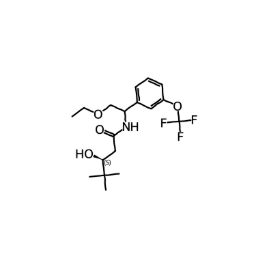 CCOCC(NC(=O)C[C@H](O)C(C)(C)C)c1cccc(OC(F)(F)F)c1